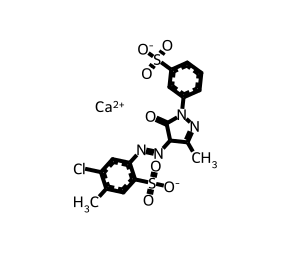 CC1=NN(c2cccc(S(=O)(=O)[O-])c2)C(=O)C1N=Nc1cc(Cl)c(C)cc1S(=O)(=O)[O-].[Ca+2]